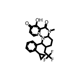 CN1C(=O)c2c(O)c(=O)ccn2N2C(c3ccccc3C3CC3)C(CC(F)(F)F)CCC12